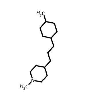 CC1CCC(CCCC2CCN(C)CC2)CC1